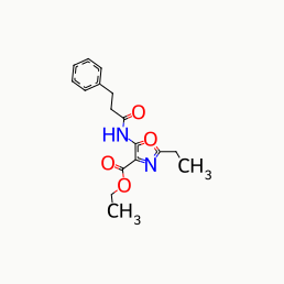 CCOC(=O)c1nc(CC)oc1NC(=O)CCc1ccccc1